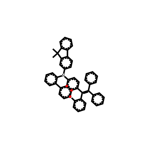 CC1(C)c2ccccc2-c2ccc(N(c3ccc4c(c3)Oc3ccccc3C4=C(c3ccccc3)c3ccccc3)c3ccccc3-c3ccccc3)cc21